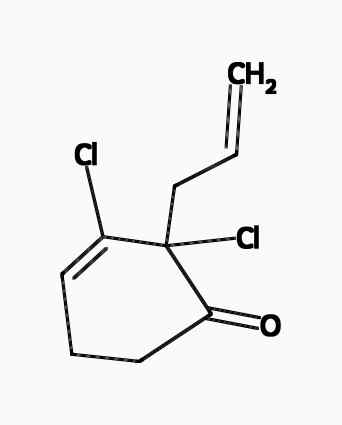 C=CCC1(Cl)C(=O)CCC=C1Cl